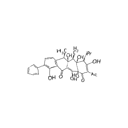 CC(=O)C1=C(O)C(C(C)C)[C@@]2(C)[C@H](C)[C@]3(C)C(=C(O)[C@@]2(O)C1=O)C(=O)c1c(ccc(-c2ccccc2)c1O)[C@H]3C